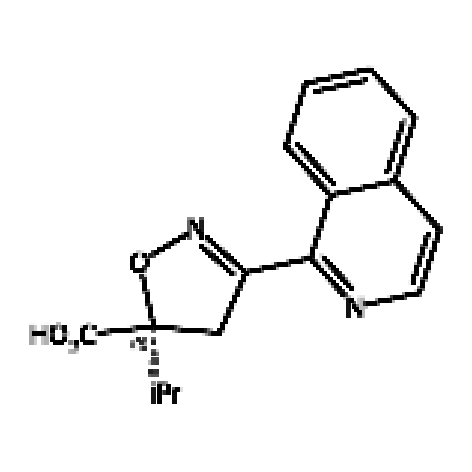 CC(C)[C@@]1(C(=O)O)CC(c2nccc3ccccc23)=NO1